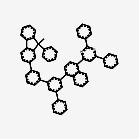 CC1(c2ccccc2)c2ccccc2-c2ccc(-c3cccc(-c4cc(-c5ccccc5)cc(-c5ccc(-c6cc(-c7ccccc7)nc(-c7ccccc7)n6)c6ccccc56)c4)c3)cc21